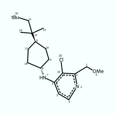 COCc1nccc(N[C@H]2CC[C@H](C(C)(C)CC(C)(C)C)CC2)c1Cl